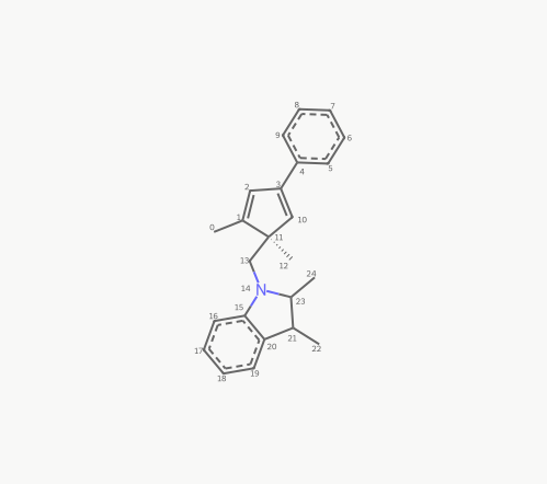 CC1=CC(c2ccccc2)=C[C@@]1(C)CN1c2ccccc2C(C)C1C